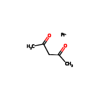 CC(=O)CC(C)=O.[Pr]